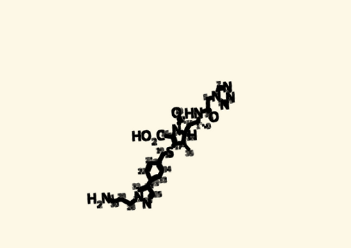 C[C@@H](NC(=O)Cn1cnnn1)[C@H]1C(=O)N2C(C(=O)O)=C(SCc3ccc(-c4cnn(CCCN)c4)cc3)[C@H](C)[C@H]12